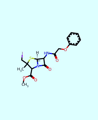 COC(=O)C1N2C(=O)C(NC(=O)COc3ccccc3)[C@@H]2SC1(C)CI